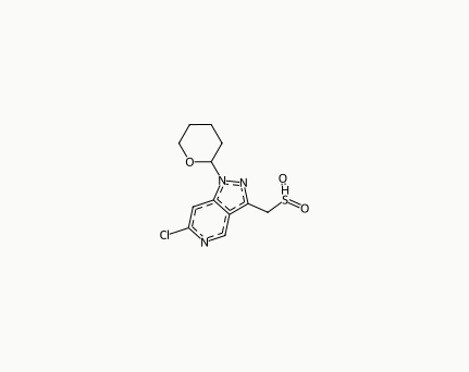 O=[SH](=O)Cc1nn(C2CCCCO2)c2cc(Cl)ncc12